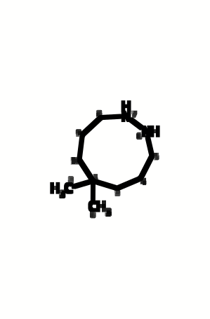 CC1(C)CCCNNCCC1